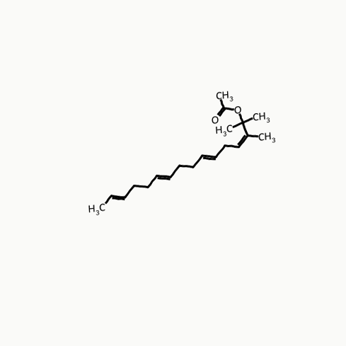 CC=CCCC=CCCC=CCC=C(C)C(C)(C)OC(C)=O